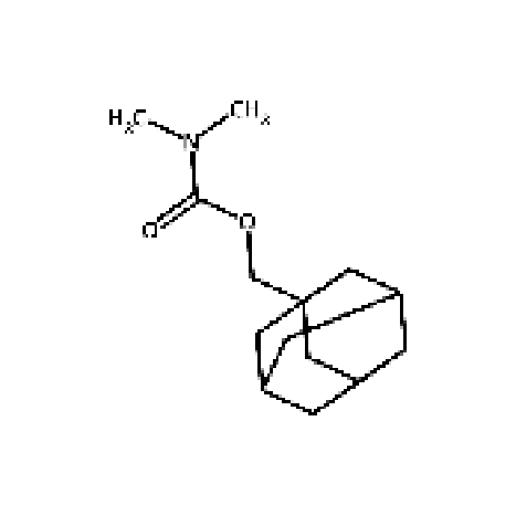 CN(C)C(=O)OCC12CC3CC(CC(C3)C1)C2